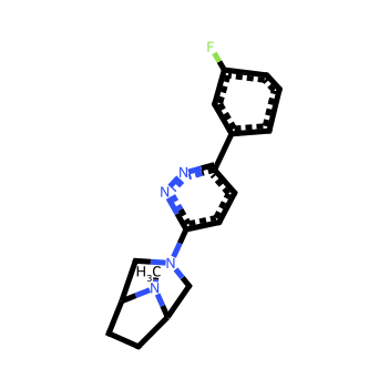 CN1C2CCC1CN(c1ccc(-c3cccc(F)c3)nn1)C2